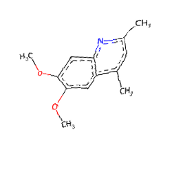 COc1cc2nc(C)cc(C)c2cc1OC